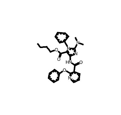 CCCCOC(=O)c1c(NC(=O)c2cccnc2Oc2ccccc2)nc(N(C)C)n1-c1ccccc1